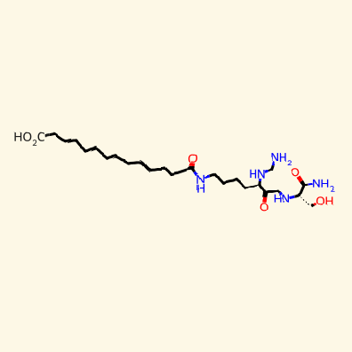 NCN[C@H](CCCCNC(=O)CCCCCCCCCCCCC(=O)O)C(=O)CN[C@@H](CO)C(N)=O